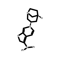 CC(C)N(C1=C2C=CN([C@@H]3C[C@H]4CCN(C4)C3)C=C2SC1)C(C)C